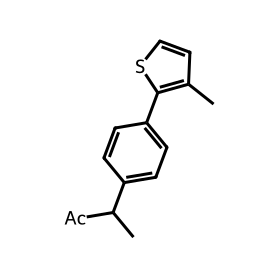 CC(=O)C(C)c1ccc(-c2sccc2C)cc1